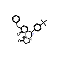 CC(C)(C)c1ccc(/C(=C/[C@H]2CCC(=O)N2)c2ccc(Cc3ccccc3)c(=O)[nH]2)cc1